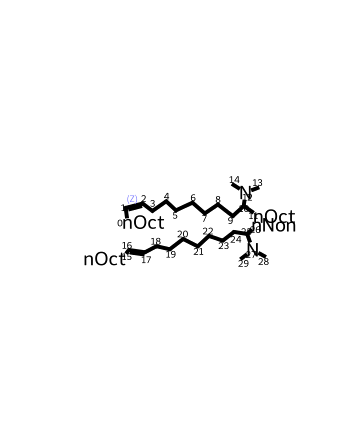 CCCCCCCC/C=C\CCCCCCCC(CCCCCCCC)N(C)C.CCCCCCCCC=CCCCCCCCC(CCCCCCCCC)N(C)C